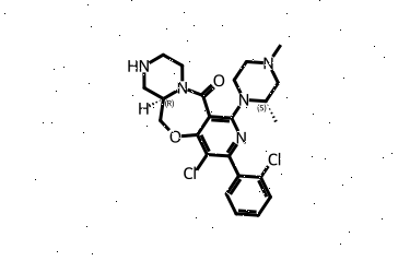 C[C@H]1CN(C)CCN1c1nc(-c2ccccc2Cl)c(Cl)c2c1C(=O)N1CCNC[C@@H]1CO2